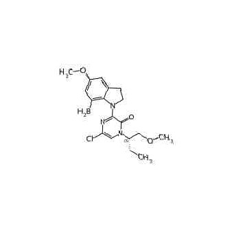 Bc1cc(OC)cc2c1N(c1nc(Cl)cn([C@@H](CC)COC)c1=O)CC2